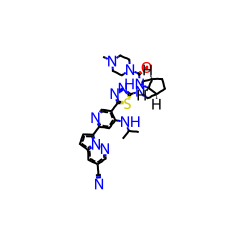 CC(C)Nc1cc(-c2ccc3cc(C#N)cnn23)ncc1-c1nnc(N2C[C@H]3CC[C@@H](C2)[C@@H]3NC(=O)N2CCN(C)CC2)s1